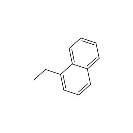 CCc1cccc2c[c]ccc12